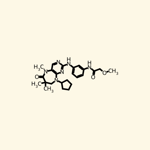 COCC(=O)Nc1cccc(Nc2ncc3c(n2)N(C2CCCC2)CC(C)(C)C(=O)N3C)c1